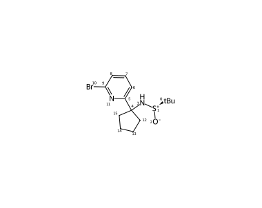 CC(C)(C)[S@@+]([O-])NC1(c2cccc(Br)n2)CCCC1